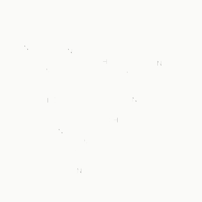 Cc1c(-c2nc3cccnc3o2)c(C)c(-c2nc3cccnc3o2)c(C)c1-c1nc2cccnc2o1